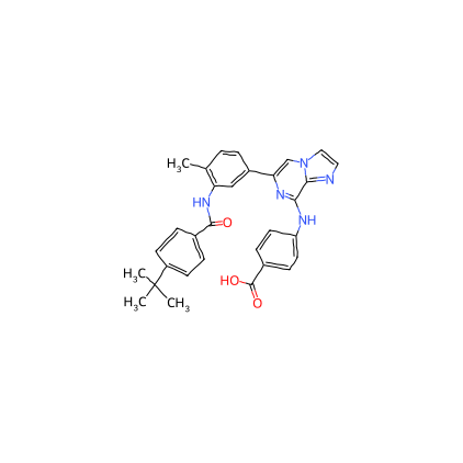 Cc1ccc(-c2cn3ccnc3c(Nc3ccc(C(=O)O)cc3)n2)cc1NC(=O)c1ccc(C(C)(C)C)cc1